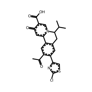 CC(=O)c1cc2c(cc1-c1csc(Cl)n1)CC(C(C)C)n1cc(C(=O)O)c(=O)cc1-2